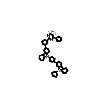 Cc1cc(-c2ccccc2)nc(-c2cccc(-c3ccc4c(c3)C3CC=CC=C3N4c3ccc(-c4ccc5c6ccccc6n(-c6ccccc6)c5c4)cc3)c2)n1